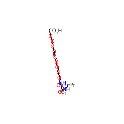 CCC(=O)[C@@H](CCC(=O)NCCOCCOCCOCCOCCOCCOCCOCCOCCOCCC(=O)O)NC(=O)CCC(C)C